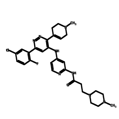 CN1CC=C(c2nnc(-c3cc(Cl)ccc3F)cc2Nc2ccnc(NC(=O)CCN3CCN(C)CC3)c2)CC1